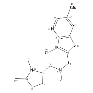 C=C1CC[C@@H](CN(C)Cc2sc3cc(C(C)(C)C)cnc3c2Cl)N1C